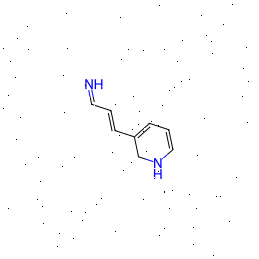 N=C/C=C/C1=CC=CNC1